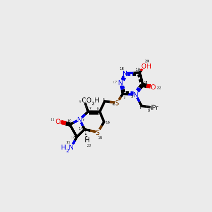 CC(C)Cn1c(SCC2=C(C(=O)O)N3C(=O)C(N)[C@@H]3SC2)nnc(O)c1=O